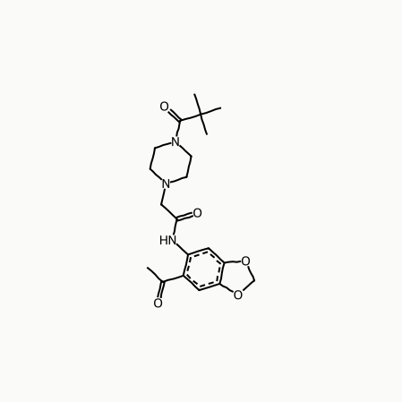 CC(=O)c1cc2c(cc1NC(=O)CN1CCN(C(=O)C(C)(C)C)CC1)OCO2